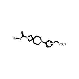 CCOC(=O)Cn1cc(N2CCC3(CC2)CN(C(=O)OC(C)(C)C)C3)cn1